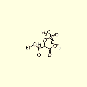 CCO[PH](=O)C(OS(C)(=O)=O)C(=O)C(F)(F)F